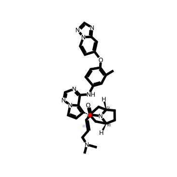 Cc1cc(Nc2ncnn3ccc([C@H]4C[C@H]5CC[C@@H](C4)N5C(=O)/C=C/CN(C)C)c23)ccc1Oc1ccn2ncnc2c1